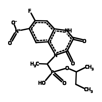 CCC(C)OP(=O)(O)C(C)n1c(=O)c(=O)[nH]c2cc(F)c([N+](=O)[O-])cc21